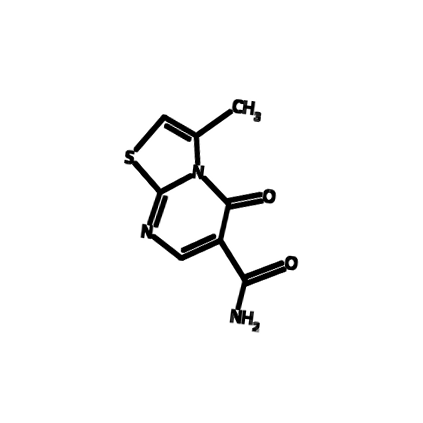 Cc1csc2ncc(C(N)=O)c(=O)n12